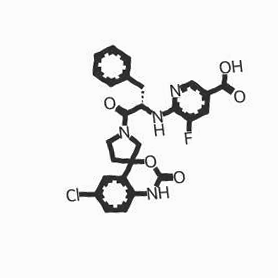 O=C1Nc2ccc(Cl)cc2C2(CCN(C(=O)[C@H](Cc3ccccc3)Nc3ncc(C(=O)O)cc3F)C2)O1